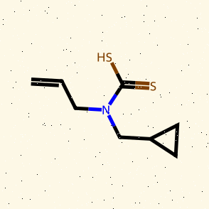 C=CCN(CC1CC1)C(=S)S